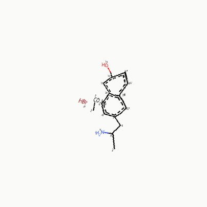 Br.CC(=O)O.CC(N)Cc1ccc2cc(O)ccc2c1